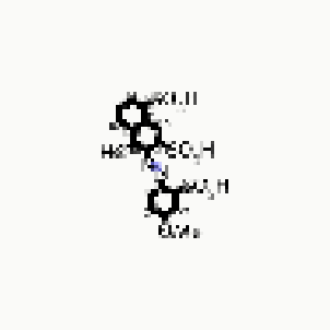 COc1ccc(/N=N/c2c(S(=O)(=O)O)cc3c(S(=O)(=O)O)cc[c]c3c2O)c(S(=O)(=O)O)c1